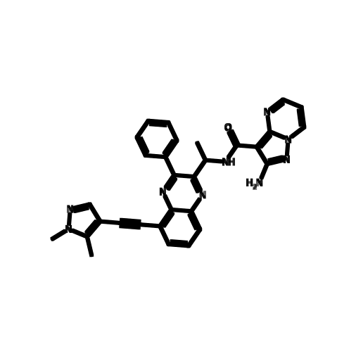 Cc1c(C#Cc2cccc3nc(C(C)NC(=O)c4c(N)nn5cccnc45)c(-c4ccccc4)nc23)cnn1C